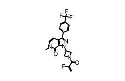 C=C(F)C(=O)N1CC(n2nc(-c3ccc(C(F)(F)F)cc3)c3ccn(C)c(=O)c32)C1